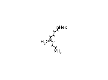 CCCCCCCCCCN(C)CCCN